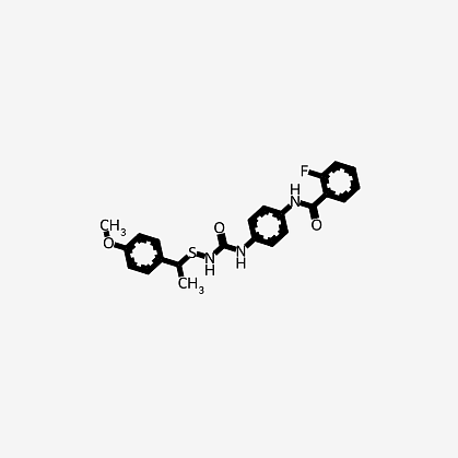 COc1ccc(C(C)SNC(=O)Nc2ccc(NC(=O)c3ccccc3F)cc2)cc1